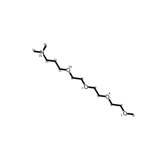 COCCOCCOCCOCCCN(C)C